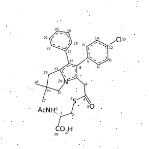 CC(=O)N[C@H](CSC(=O)Cc1c(-c2ccc(Cl)cc2)c(-c2ccccc2)c2n1CC(C)(C)C2)C(=O)O